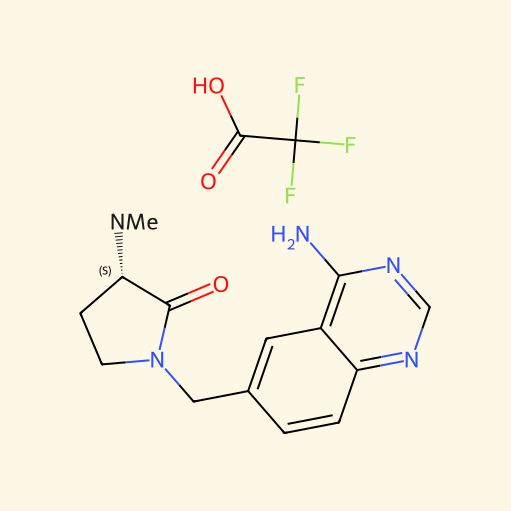 CN[C@H]1CCN(Cc2ccc3ncnc(N)c3c2)C1=O.O=C(O)C(F)(F)F